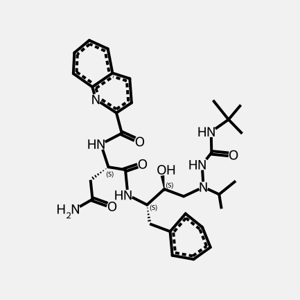 CC(C)N(C[C@H](O)[C@H](Cc1ccccc1)NC(=O)[C@H](CC(N)=O)NC(=O)c1ccc2ccccc2n1)NC(=O)NC(C)(C)C